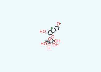 COc1ccc(Cc2c(F)cc(CO)cc2O[C@@H]2O[C@H]([C@@H](C)O)[C@@H](O)[C@H](O)[C@H]2O)cc1